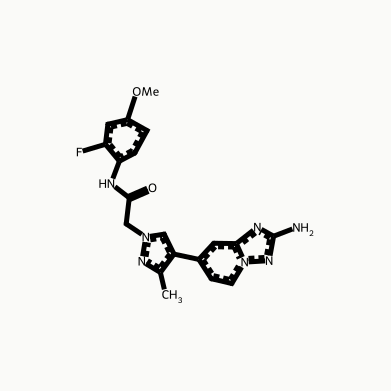 COc1ccc(NC(=O)Cn2cc(-c3ccn4nc(N)nc4c3)c(C)n2)c(F)c1